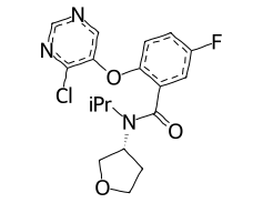 CC(C)N(C(=O)c1cc(F)ccc1Oc1cncnc1Cl)[C@@H]1CCOC1